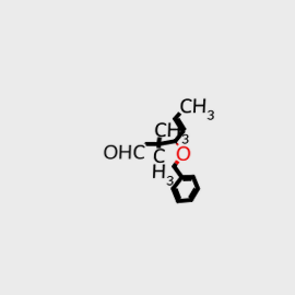 CC=C[C@H](OCc1ccccc1)C(C)(C)CC=O